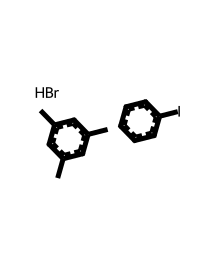 Br.Cc1cc(C)cc(C)c1.Ic1ccccc1